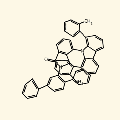 Cc1ccccc1-c1cccc2c3cccc(-c4ccccc4C)c3n(-c3cccc4c3CN(c3cc(-c5ccccc5)ccc3-c3ccccc3)C4=O)c12